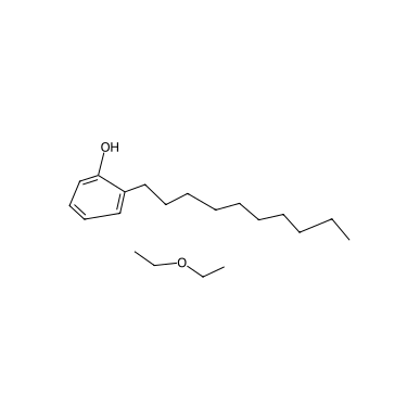 CCCCCCCCCCc1ccccc1O.CCOCC